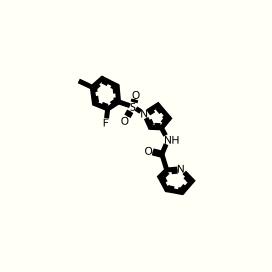 Cc1ccc(S(=O)(=O)n2ccc(NC(=O)c3ccccn3)c2)c(F)c1